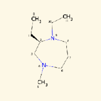 CC[C@@H]1CN(C)CCCN1CC